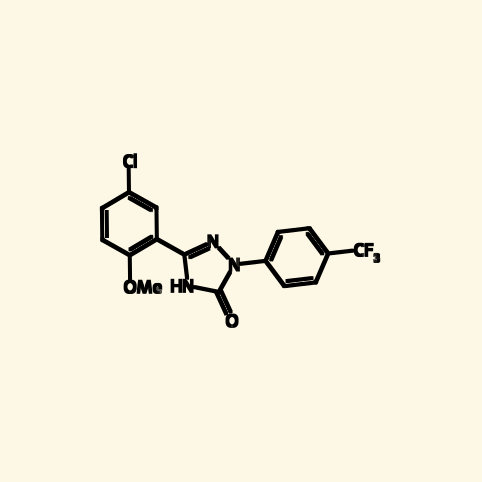 COc1ccc(Cl)cc1-c1nn(-c2ccc(C(F)(F)F)cc2)c(=O)[nH]1